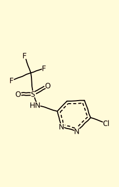 O=S(=O)(Nc1ccc(Cl)nn1)C(F)(F)F